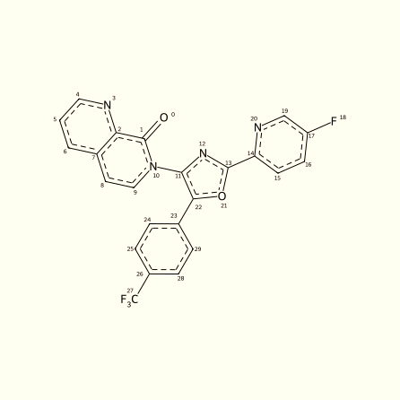 O=c1c2ncccc2ccn1-c1nc(-c2ccc(F)cn2)oc1-c1ccc(C(F)(F)F)cc1